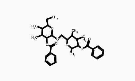 CCC1OC(OCC2OC(C)C(OC(=O)c3ccccc3)C(C)C2C)C(OC(=O)c2ccccc2)C(C)C1C